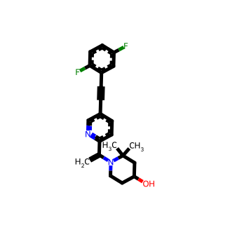 C=C(c1ccc(C#Cc2cc(F)ccc2F)cn1)N1CCC(O)CC1(C)C